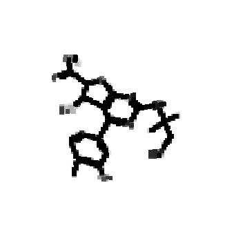 Cc1ccc(-c2nc(NC(C)(C)CO)nc3c2C(N)C(C(N)=O)S3)cc1O